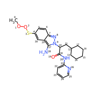 COOSc1ccc2nn(C(CC3CCCCC3)C(=O)Nc3ccccn3)c(N)c2c1